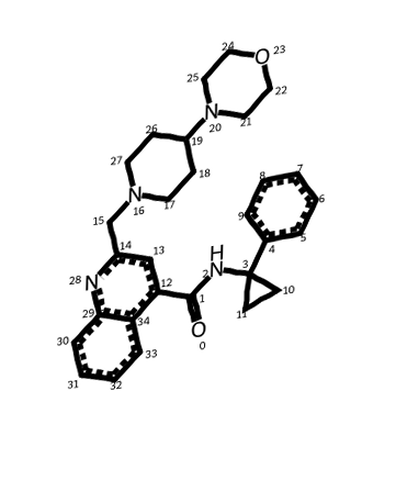 O=C(NC1(c2ccccc2)CC1)c1cc(CN2CCC(N3CCOCC3)CC2)nc2ccccc12